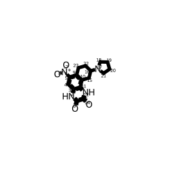 O=c1[nH]c2cc([N+](=O)[O-])c3c(c2[nH]c1=O)CC(N1CCCC1)CC3